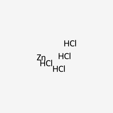 Cl.Cl.Cl.Cl.[Zn]